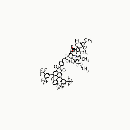 CCOC(=O)C1=C(C)/C(=C(\c2c(C3CC3)cc(OC(=O)Cc3ccc(-n4c(=O)c5cc(-c6cc(C(F)(F)F)cc(C(F)(F)F)c6)c6oc7ccccc7c7c(-c8cc(C(F)(F)F)cc(C(F)(F)F)c8)cc(c4=O)c5c67)cc3)cc2C2CC2)c2c(C)c(C(=O)OCC)c(C)n2B(F)F)N=C1C